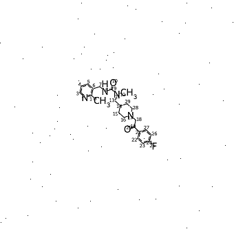 Cc1ncccc1CNC(=O)N(C)CC1CCN(CC(=O)c2ccc(F)cc2)CC1